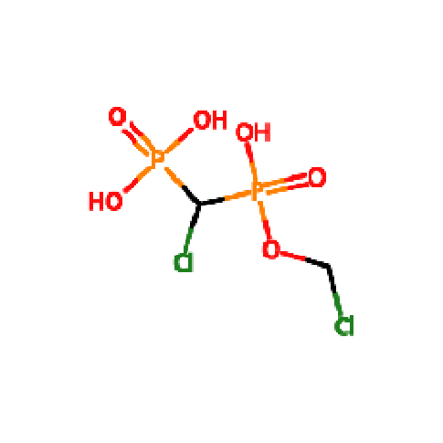 O=P(O)(O)C(Cl)P(=O)(O)OCCl